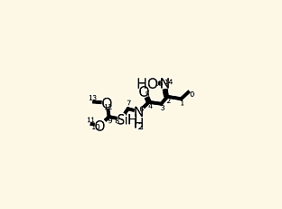 CCC(CC(=O)NC[SiH2]C(OC)OC)=NO